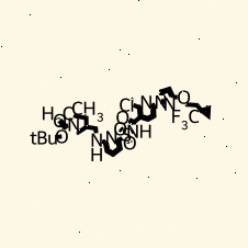 CC(C)(C)OC(=O)N1CC(CNc2cccc(S(=O)(=O)NC(=O)c3ccc(-n4ccc(OCCC5(C(F)(F)F)CC5)n4)nc3Cl)n2)CC1(C)C